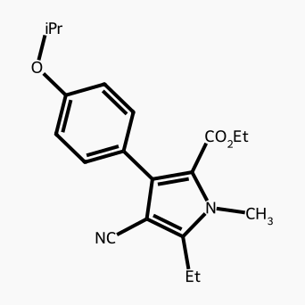 CCOC(=O)c1c(-c2ccc(OC(C)C)cc2)c(C#N)c(CC)n1C